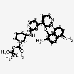 Cc1ccc2c(N)cccc2c1Oc1nnccc1-c1ccnc(NC2CCCN(C(=O)OC(C)(C)C)C2)n1